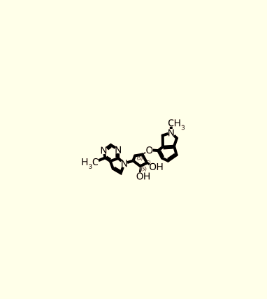 Cc1ncnc2c1ccn2C1C[C@H](Oc2cccc3c2CN(C)C3)[C@@H](O)[C@H]1O